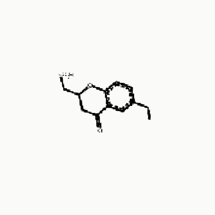 O=C(O)CC1CC(=O)c2cc(CI)ccc2O1